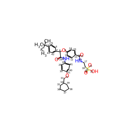 CC(C)(C)c1ccc(C(Oc2ccc(C(=O)NCCS(=O)(=O)O)cc2)C(=O)Nc2ccc(OCC3CCCCC3)cc2)cc1